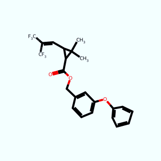 CC1(C)C(C=C(C(F)(F)F)C(F)(F)F)C1C(=O)OCc1cccc(Oc2ccccc2)c1